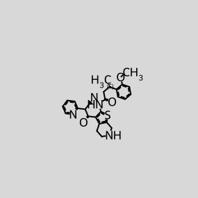 COc1ccccc1[C@@H](C)CC(=O)Nc1sc2c(c1C(=O)C(C#N)c1ccccn1)CCNC2